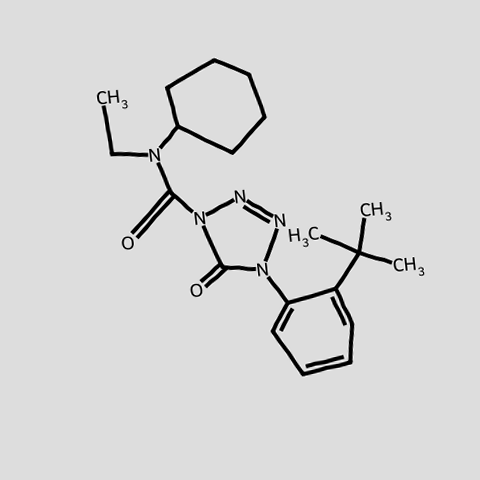 CCN(C(=O)n1nnn(-c2ccccc2C(C)(C)C)c1=O)C1CCCCC1